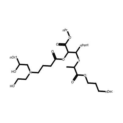 CCCCCCCCCCCCCOC(=O)C(C)SC(CCCCC)C(OC(=O)CCCN(CCO)CC(O)CCCCCCCC)C(=O)OCCC